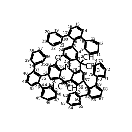 CC1(C)c2cc(-c3c(-c4ccccc4)cccc3-c3ccccc3)cc3c2N2c4c(cc(-c5c(-c6ccccc6)cccc5-c5ccccc5)cc4C(C)(C)c4cc(-c5c(-c6ccccc6)cccc5-c5ccccc5)cc1c42)O3